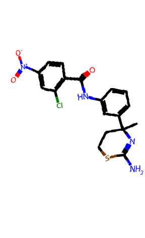 CC1(c2cccc(NC(=O)c3ccc([N+](=O)[O-])cc3Cl)c2)CCSC(N)=N1